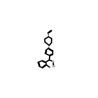 C=C[C@H]1CC[C@H](c2ccc(C(OCC)c3ccccc3F)cc2)CC1